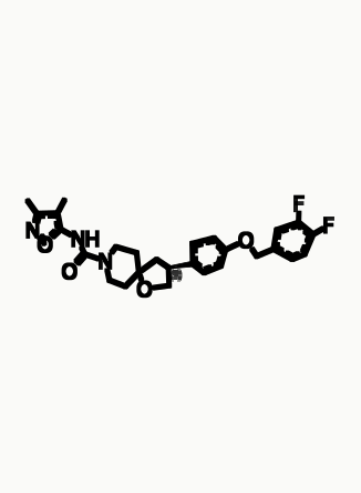 Cc1noc(NC(=O)N2CCC3(CC2)C[C@@H](c2ccc(OCc4ccc(F)c(F)c4)cc2)CO3)c1C